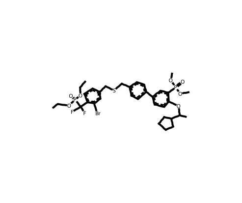 CCOP(=O)(OCC)C(F)(F)c1ccc(CSCc2ccc(-c3ccc(OC(C)C4CCCC4)c(P(=O)(OC)OC)c3)cc2)cc1Br